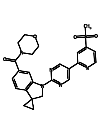 CS(=O)(=O)c1ccnc(-c2cnc(N3CC4(CC4)c4ccc(C(=O)N5CCOCC5)cc43)nc2)c1